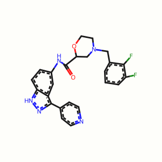 O=C(Nc1ccc2[nH]nc(-c3ccncc3)c2c1)C1CN(Cc2cccc(F)c2F)CCO1